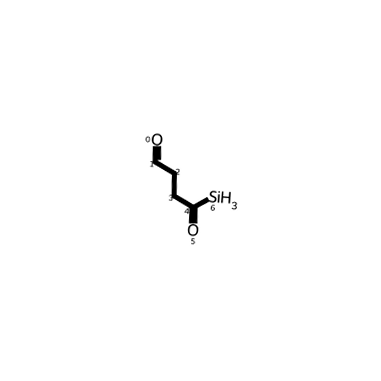 O=CCCC(=O)[SiH3]